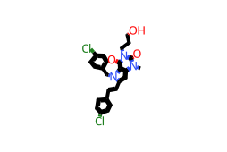 Cn1c(=O)n(CCCO)c(=O)c2c1cc(/C=C/c1ccc(Cl)cc1)n2Cc1ccc(Cl)cc1